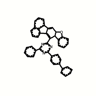 C1=C2C(=C(c3nc(-c4ccccc4)nc(-c4ccc(-c5ccccc5)cc4)n3)C3c4ccccc4OC13)c1cccc3cccc2c13